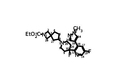 CCOC(=O)N1CC2(CCC(N3CCC(F)(c4ncc(F)cc4-c4cnn(C)c4)CC3)C2)C1